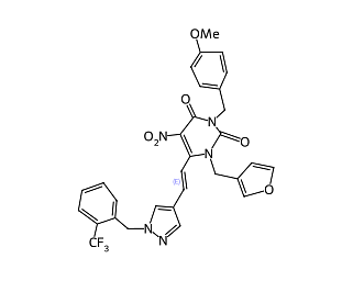 COc1ccc(Cn2c(=O)c([N+](=O)[O-])c(/C=C/c3cnn(Cc4ccccc4C(F)(F)F)c3)n(Cc3ccoc3)c2=O)cc1